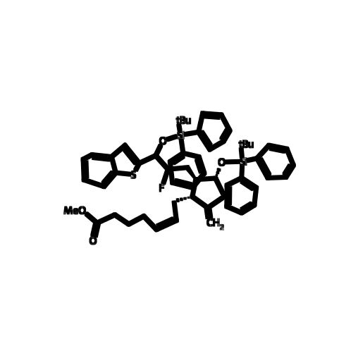 C=C1C[C@@H](O[Si](c2ccccc2)(c2ccccc2)C(C)(C)C)[C@H](CC(F)C(O[Si](c2ccccc2)(c2ccccc2)C(C)(C)C)c2cc3ccccc3s2)[C@H]1C/C=C\CCCC(=O)OC